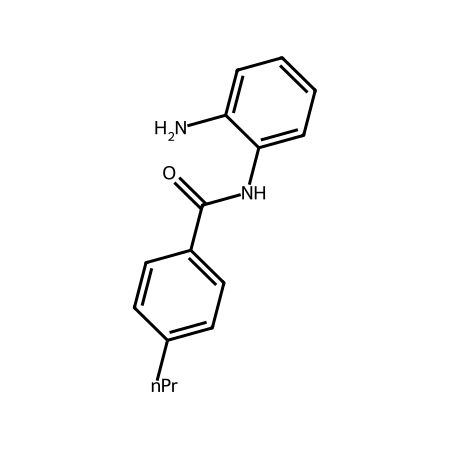 CCCc1ccc(C(=O)Nc2ccccc2N)cc1